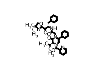 CC(C)[C@H]1C(=O)N(CC(=O)N[C@@H](Cc2ccccc2)C(=O)C2=NC(C)(C)CO2)C(c2ccccc2)=CN1C(=O)c1ccccn1